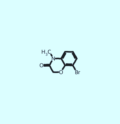 CN1C(=O)COc2c(Br)cccc21